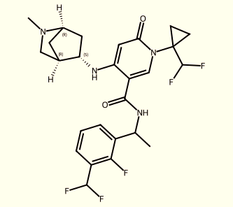 CC(NC(=O)c1cn(C2(C(F)F)CC2)c(=O)cc1N[C@H]1C[C@H]2C[C@@H]1CN2C)c1cccc(C(F)F)c1F